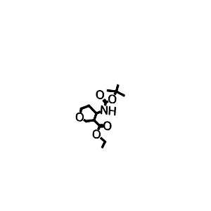 CCOC(=O)C1COCCC1NC(=O)OC(C)(C)C